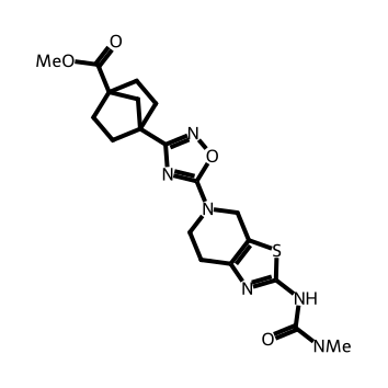 CNC(=O)Nc1nc2c(s1)CN(c1nc(C34CCC(C(=O)OC)(CC3)C4)no1)CC2